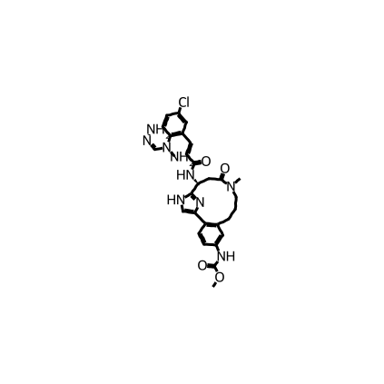 COC(=O)Nc1ccc2c(c1)CCCN(C)C(=O)C[C@H](NC(=O)/C=C/c1cc(Cl)ccc1N(N)/C=N\N)c1nc-2c[nH]1